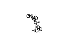 CC(=O)NC[C@H]1CN(c2ccc(N3C=NN(C(=O)C(C)O)CC3)c(F)c2)C(=O)O1